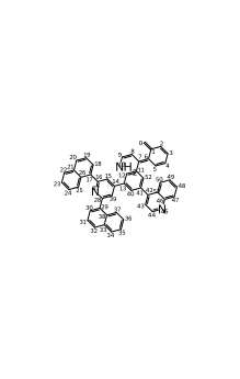 C=c1cccc/c1=C(/C=C\N)c1cc(-c2cc(-c3cccc4ccccc34)nc(-c3cccc4ccccc34)c2)cc(-c2ccnc3ccccc23)c1